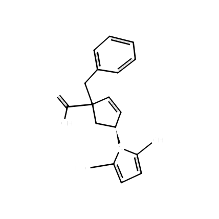 Cc1ccc(C)n1[C@@H]1C=CC(Cc2ccccc2)(C(=O)O)C1